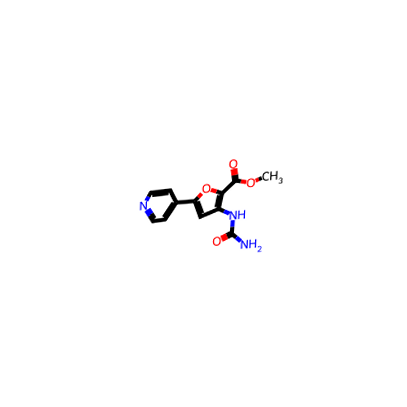 COC(=O)c1oc(-c2ccncc2)cc1NC(N)=O